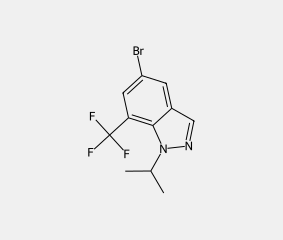 CC(C)n1ncc2cc(Br)cc(C(F)(F)F)c21